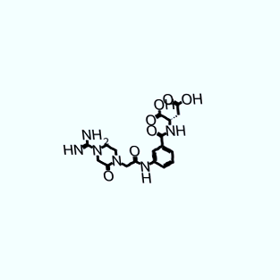 N=C(N)N1CCN(CC(=O)Nc2cccc(C(=O)N[C@@H](CC(=O)O)C(=O)O)c2)C(=O)C1